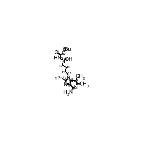 CCCc1nc2c(N)nc(C)c(C)c2n1CCCCN(O)NC(=O)OC(C)(C)C